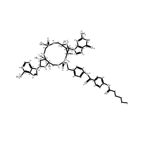 CCCCCC(=O)Oc1ccc(C(=O)Oc2ccc(CSP3(=O)OC[C@H]4O[C@@H](n5cnc6c(N)ncnc65)[C@H](F)[C@@H]4OCP(=O)(O)OC[C@H]4O[C@@H](n5cnc6c(=O)[nH]c(N)nc65)[C@H](O3)[C@@H]4F)cc2)cc1